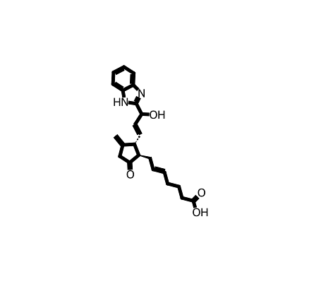 C=C1CC(=O)[C@H](CC=CCCCC(=O)O)[C@H]1C=CC(O)c1nc2ccccc2[nH]1